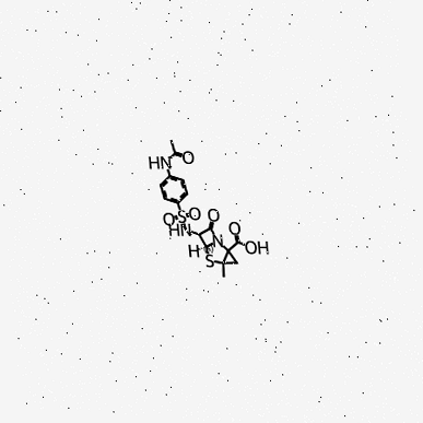 CC(=O)Nc1ccc(S(=O)(=O)NC2C(=O)N3[C@H]2SC2(C)CC32C(=O)O)cc1